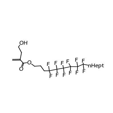 C=C(CCO)C(=O)OCCCC(F)(F)C(F)(F)C(F)(F)C(F)(F)C(F)(F)C(F)(F)CCCCCCC